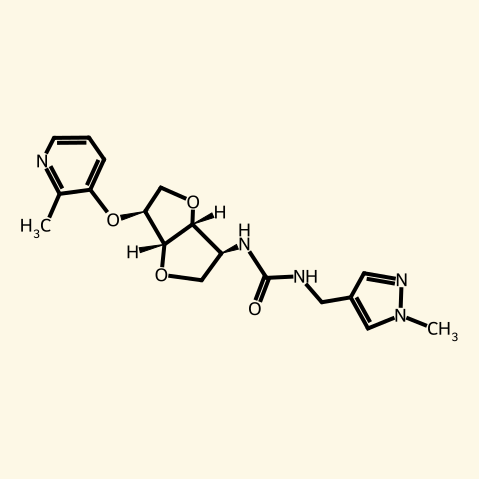 Cc1ncccc1O[C@H]1CO[C@H]2[C@@H]1OC[C@@H]2NC(=O)NCc1cnn(C)c1